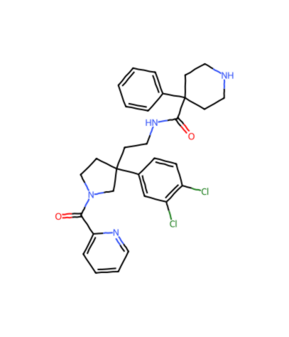 O=C(c1ccccn1)N1CCC(CCNC(=O)C2(c3ccccc3)CCNCC2)(c2ccc(Cl)c(Cl)c2)C1